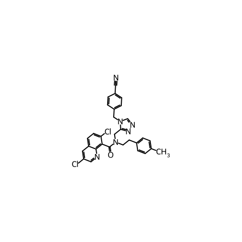 Cc1ccc(CCN(Cc2nncn2Cc2ccc(C#N)cc2)C(=O)c2c(Cl)ccc3cc(Cl)cnc23)cc1